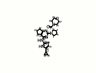 O=C([C@@H]1CCCN1c1nc2c(c(Nc3ncc(C4CC4)[nH]3)n1)CCC2)N1CCOCC1